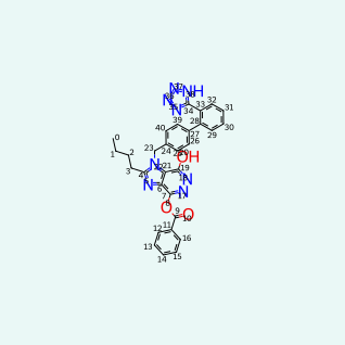 CCCCc1nc2c(OC(=O)c3ccccc3)nnc(O)c2n1Cc1ccc(-c2ccccc2-c2nnn[nH]2)cc1